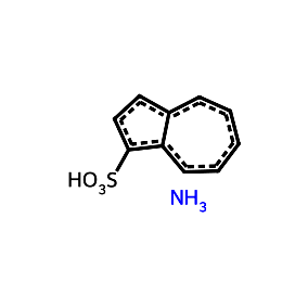 N.O=S(=O)(O)c1ccc2cccccc1-2